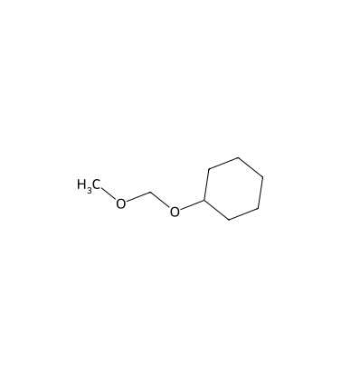 COCOC1CCCCC1